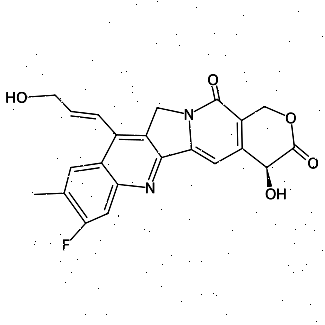 Cc1cc2c(/C=C/CO)c3c(nc2cc1F)-c1cc2c(c(=O)n1C3)COC(=O)[C@H]2O